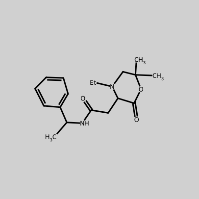 CCN1CC(C)(C)OC(=O)C1CC(=O)NC(C)c1ccccc1